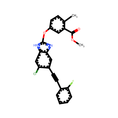 COC(=O)c1cc(Oc2nc3cc(C#Cc4ccccc4F)c(Cl)cc3[nH]2)ccc1C